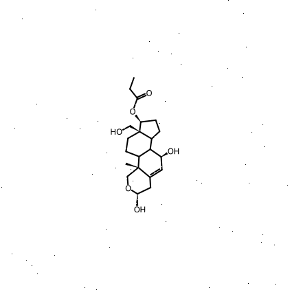 CCC(=O)O[C@H]1CCC2C3C(CC[C@@]21CO)[C@@]1(C)CO[C@H](O)CC1=C[C@@H]3O